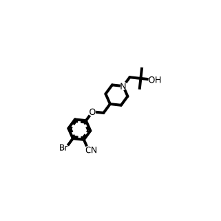 CC(C)(O)CN1CCC(COc2ccc(Br)c(C#N)c2)CC1